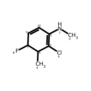 CNC1=C(Cl)C(C)C(F)C=C1